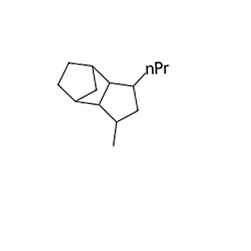 CCCC1CC(C)C2C3CCC(C3)C12